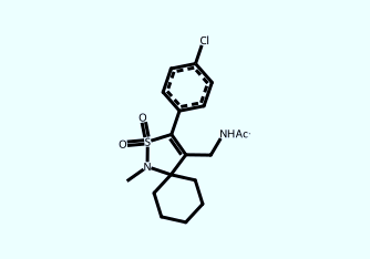 CC(=O)[N]CC1=C(c2ccc(Cl)cc2)S(=O)(=O)N(C)C12CCCCC2